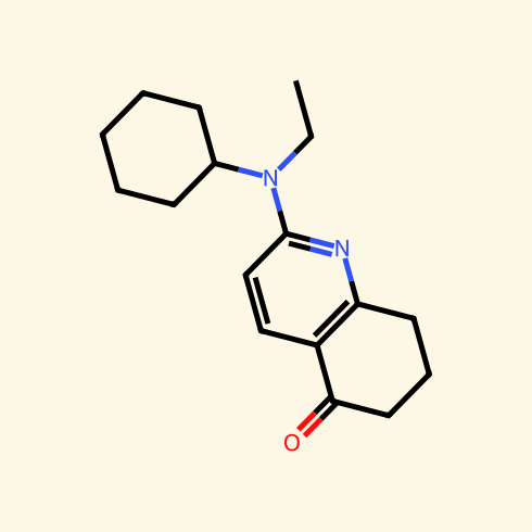 CCN(c1ccc2c(n1)CCCC2=O)C1CCCCC1